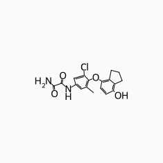 Cc1cc(NC(=O)C(N)=O)cc(Cl)c1Oc1ccc(O)c2c1CCC2